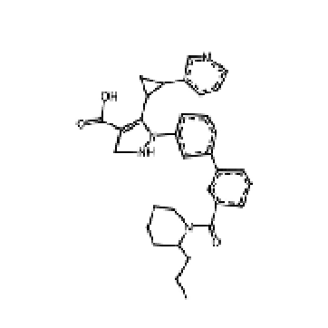 CCCC1CCCCN1C(=O)c1cccc(-c2cccc(N3NCC(C(=O)O)=C3C3CC3c3cccnc3)c2)c1